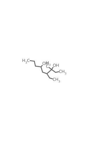 CCCC(O)CC(CC)C(C)(O)CC